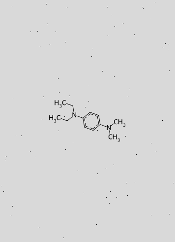 CCN(CC)c1ccc(N(C)C)cc1